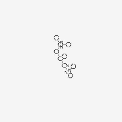 c1ccc(-c2cc(-c3cccc(-c4ccc(-c5ccc(-c6nc7ccccc7n6-c6ccccc6)nc5)c5ccccc45)c3)nc(-c3ccccc3)n2)cc1